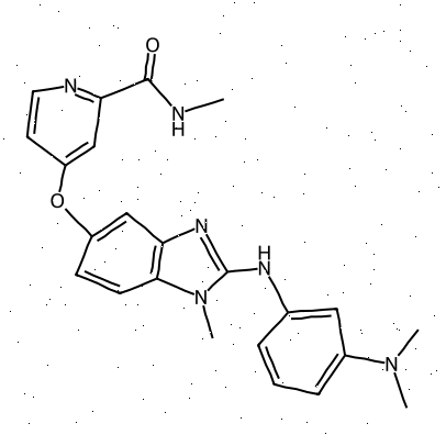 CNC(=O)c1cc(Oc2ccc3c(c2)nc(Nc2cccc(N(C)C)c2)n3C)ccn1